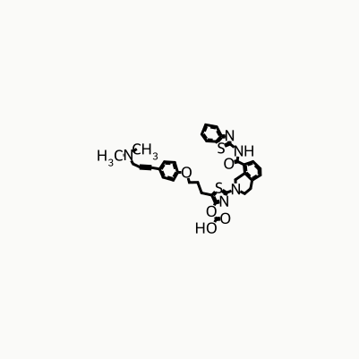 CN(C)CC#Cc1ccc(OCCCc2sc(N3CCc4cccc(C(=O)Nc5nc6ccccc6s5)c4C3)nc2OC(=O)O)cc1